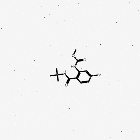 COC(=O)Nc1cc(Br)ccc1C(=O)NC(C)(C)C